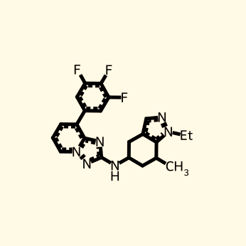 CCn1ncc2c1C(C)CC(Nc1nc3c(-c4cc(F)c(F)c(F)c4)cccn3n1)C2